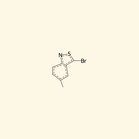 Cc1ccc2nsc(Br)c2c1